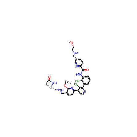 COc1nc(-c2ccnc(-c3cccc(NC(=O)c4ccc(CNCCO)cn4)c3Cl)c2Cl)ccc1CNC[C@@H]1CCC(=O)N1